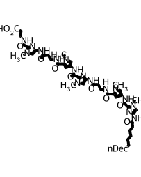 CCCCCCCCCCCCCCCC(=O)Nc1cn(C)c(C(=O)Nc2cc(C(=O)NCCC(=O)Nc3cn(C)c(C(=O)Nc4cc(C(=O)NCCC(=O)Nc5cn(C)c(C(=O)NCCC(=O)O)n5)n(C)c4)n3)n(C)c2)n1